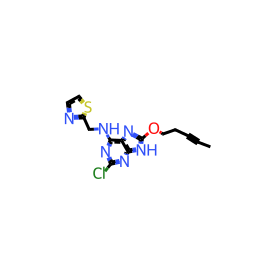 CC#CCCOc1nc2c(NCc3nccs3)nc(Cl)nc2[nH]1